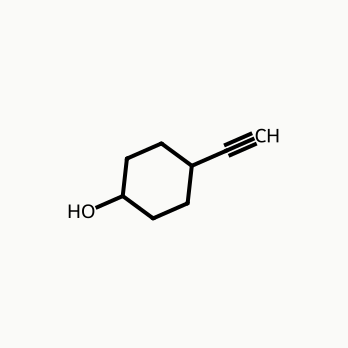 C#CC1CCC(O)CC1